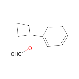 O=COC1(c2ccccc2)CCC1